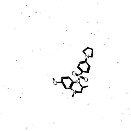 COc1ccc2c(c1)N(C)CC(C)N2S(=O)(=O)c1ccc(N2CCCC2)cc1